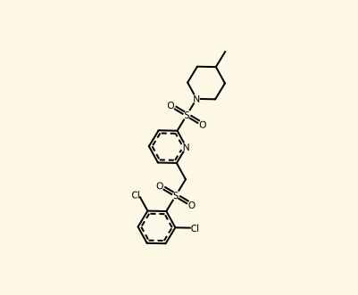 CC1CCN(S(=O)(=O)c2cccc(CS(=O)(=O)c3c(Cl)cccc3Cl)n2)CC1